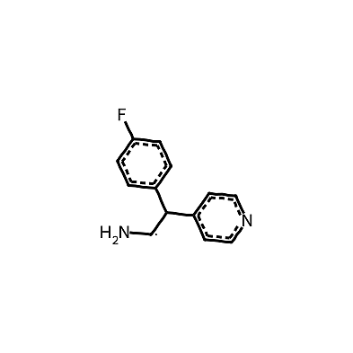 N[CH]C(c1ccncc1)c1ccc(F)cc1